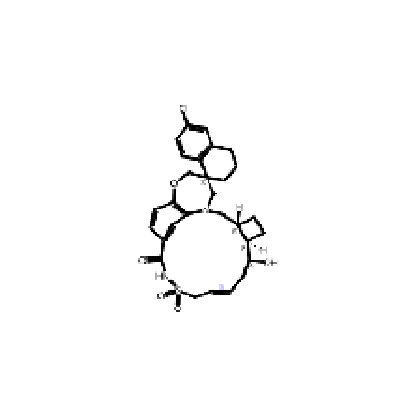 O=C1NS(=O)(=O)C/C=C/C[C@H](O)[C@@H]2CC[C@H]2CN2C[C@@]3(CCCc4cc(Cl)ccc43)COc3ccc1cc32